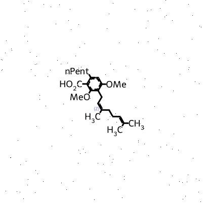 CCCCCc1cc(OC)c(C/C=C(/C)CCC=C(C)C)c(OC)c1C(=O)O